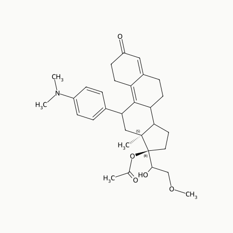 COCC(O)[C@@]1(OC(C)=O)CCC2C3CCC4=CC(=O)CCC4=C3C(c3ccc(N(C)C)cc3)C[C@@]21C